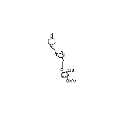 COc1ccc(OCCCc2cn(CCCN3CCNCC3)nn2)c(C(C)(C)C)c1